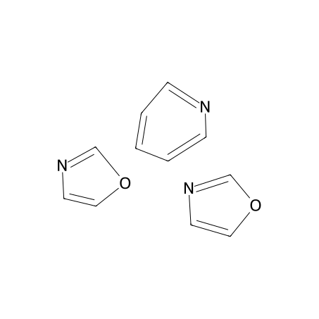 c1ccncc1.c1cocn1.c1cocn1